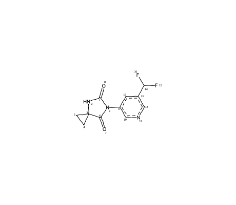 O=C1NC2(CC2)C(=O)N1c1cncc(C(F)F)c1